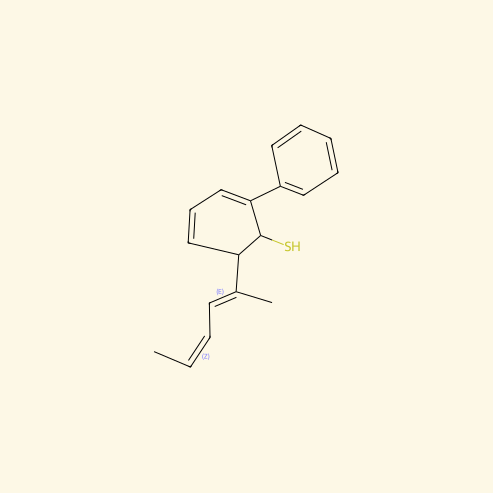 C/C=C\C=C(/C)C1C=CC=C(c2ccccc2)C1S